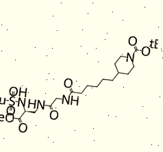 CCCCS(=O)(=O)N[C@@H](CNC(=O)CNC(=O)CCCCCC1CCN(C(=O)OC(C)(C)C)CC1)C(=O)OC